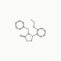 CCOc1ccccc1C1SCC(=O)N1Cc1ccccc1